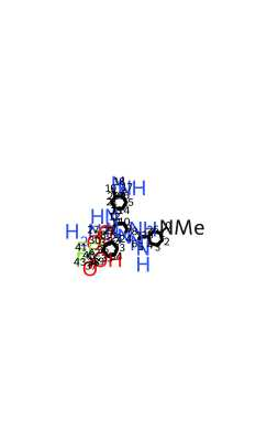 CNc1ccc2[nH]nc(Nc3cc(Nc4ccc5[nH]ncc5c4)ncn3)c2c1.NS(=O)(=O)c1ccccc1.O=C(O)C(F)(F)F